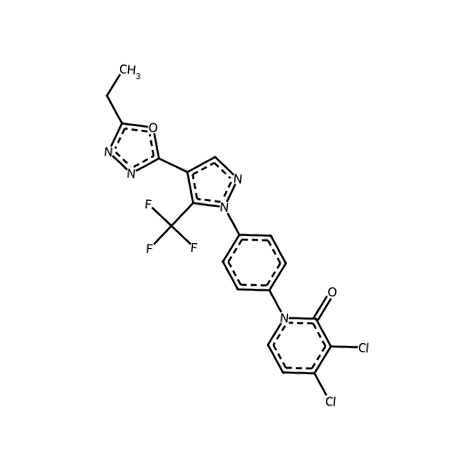 CCc1nnc(-c2cnn(-c3ccc(-n4ccc(Cl)c(Cl)c4=O)cc3)c2C(F)(F)F)o1